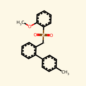 COc1ccccc1S(=O)(=O)[CH]c1ccccc1-c1ccc(C)cc1